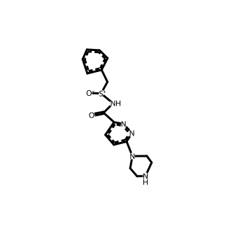 O=C(N[S+]([O-])Cc1ccccc1)c1ccc(N2CCNCC2)nn1